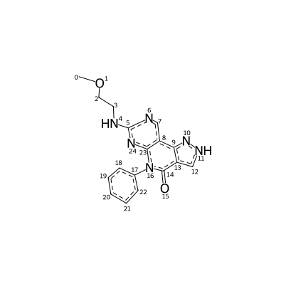 COCCNc1ncc2c3n[nH]cc3c(=O)n(-c3ccccc3)c2n1